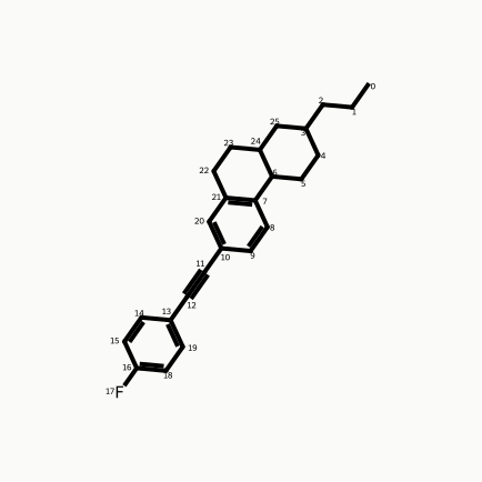 CCCC1CCC2c3ccc(C#Cc4ccc(F)cc4)cc3CCC2C1